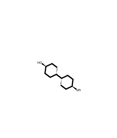 CCC[C@H]1CC[C@H]([C@H]2CC[C@H](O)CC2)CC1